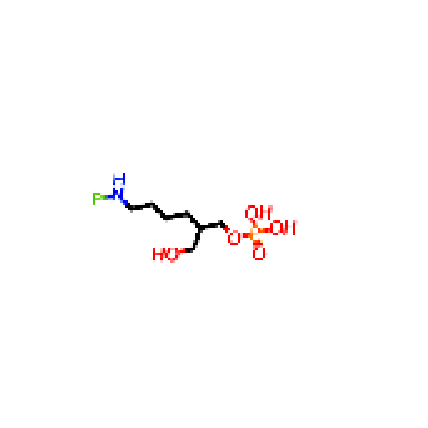 O=P(O)(O)OCC(CO)CCCCNF